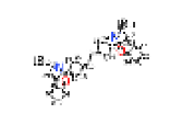 CC(C)(C)C1=NC(Oc2ccccc2)(c2ccc(C=Cc3ccc(C4(Oc5ccccc5)C=CC(C(C)(C)C)=N4)cc3)cc2)C=C1